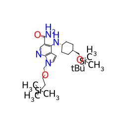 CC(C)(C)[Si](C)(C)OC[C@H]1CC[C@H](Nc2c(C(N)=O)cnc3c2ccn3COCC[Si](C)(C)C)CC1